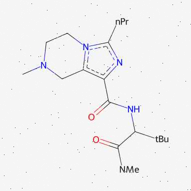 CCCc1nc(C(=O)NC(C(=O)NC)C(C)(C)C)c2n1CCN(C)C2